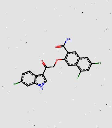 NC(=O)c1cc2cc(Cl)cc(F)c2cc1OCC(=O)c1c[nH]c2cc(F)ccc12